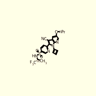 CCCOc1cnc2c(c1)c(C#N)c(-c1ccc(S(=O)(=O)N[C@H](C)C(F)(F)F)cn1)n2C1=CC=C1